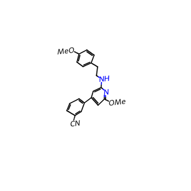 COc1ccc(CCNc2cc(-c3cccc(C#N)c3)cc(OC)n2)cc1